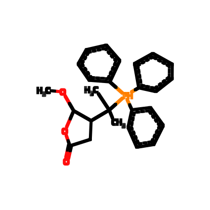 COC1OC(=O)CC1C(C)(C)[PH](c1ccccc1)(c1ccccc1)c1ccccc1